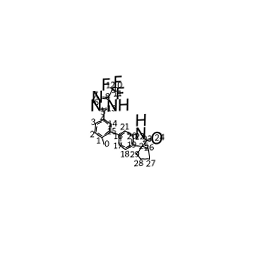 Cc1ccc(-c2nnc(C(F)(F)F)[nH]2)cc1-c1ccc2c(c1)NC(=O)C21CCCC1